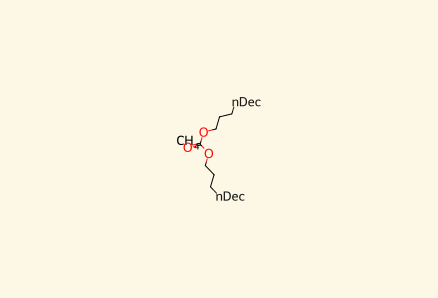 C.CCCCCCCCCCCCCOC(=O)OCCCCCCCCCCCCC